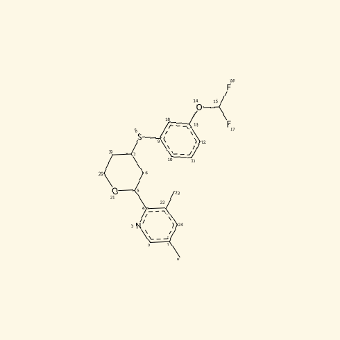 Cc1cnc(C2CC(Sc3cccc(OC(F)F)c3)CCO2)c(C)c1